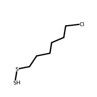 SSCCCCCCCl